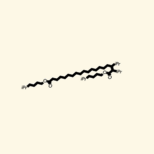 CC(C)CCCCOC(=O)CCCCCCCCCCCCCCCC(C(C)C)C(C(=O)OCCCCC(C)C)C(C)C